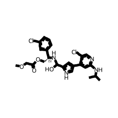 COCC(=O)OC[C@@H](NC(O)c1cc(-c2cc(NC(C)C)ncc2Cl)c[nH]1)c1cccc(Cl)c1